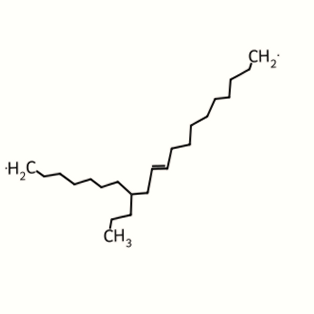 [CH2]CCCCCCCCC=CCC(CCC)CCCCCC[CH2]